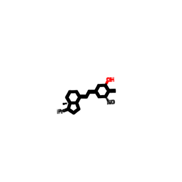 C=C1[C@H](O)C/C(=C/C=C2\CCC[C@@]3(C)C2CCC3C(C)C)C[C@H]1N=O